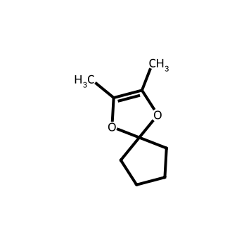 CC1=C(C)OC2(CCCC2)O1